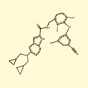 N#Cc1cc(Cl)cc(Oc2c(Cl)ccc(CNC(=O)c3cc4cc(N(CC5CC5)CC5CC5)ccc4[nH]3)c2F)c1